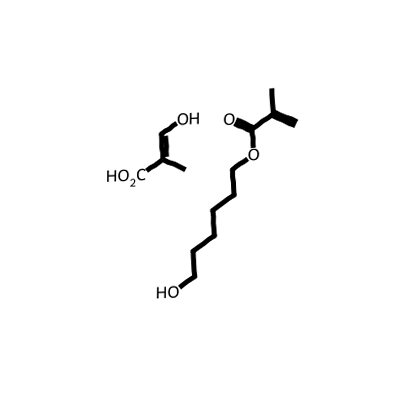 C=C(C)C(=O)OCCCCCCO.CC(=CO)C(=O)O